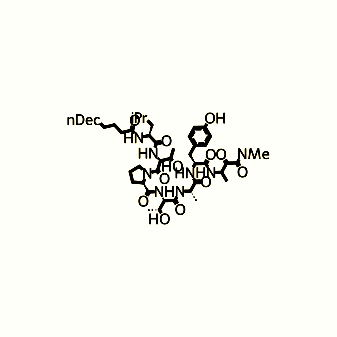 CCCCCCCCCCCCCC(=O)N[C@@H](CC(C)C)C(=O)N[C@H](C(=O)N1CCC[C@@H]1C(=O)N[C@H](C(=O)N[C@@H](C)C(=O)N[C@@H](Cc1ccc(O)cc1)C(=O)NC(C)C(=O)C(=O)NC)[C@@H](C)O)C(C)O